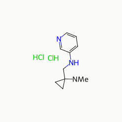 CNC1(CNc2cccnc2)CC1.Cl.Cl